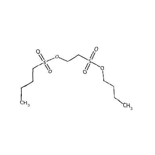 CCCCOS(=O)(=O)CCOS(=O)(=O)CCCC